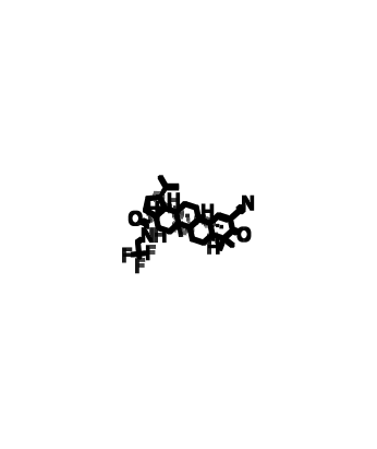 C=C(C)[C@@H]1CC[C@]2(C(=O)NCC(F)(F)F)CC[C@]3(C)[C@H](CC[C@@H]4[C@@]5(C)C=C(C#N)C(=O)C(C)(C)[C@@H]5CC[C@]43C)[C@@H]12